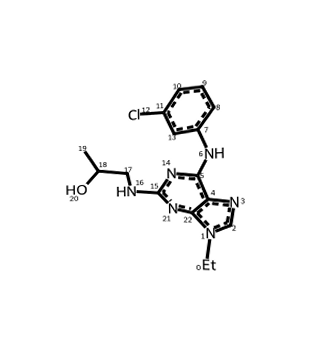 CCn1cnc2c(Nc3cccc(Cl)c3)nc(NCC(C)O)nc21